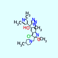 COc1nc2ccc(C(O)(c3cc(C)nc(C)c3)c3cnnn3C)cc2c(Cl)c1CN1CCC(C)CC1